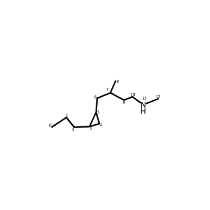 CCCC1CC1CC(C)CCNC